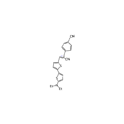 CCN(CC)c1ccc(-c2ccc(/C=C(\C#N)c3ccc(C#N)cc3)s2)s1